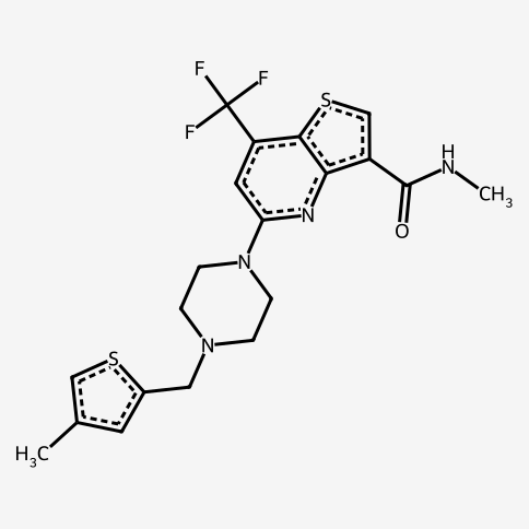 CNC(=O)c1csc2c(C(F)(F)F)cc(N3CCN(Cc4cc(C)cs4)CC3)nc12